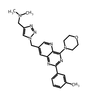 Cc1cccc(-c2nc(N3CCOCC3)c3ncc(Cn4cc(CN(C)C)nn4)cc3n2)c1